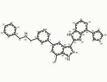 Fc1cc(-c2cncc(CNCc3ccccc3)c2)cc2c(-c3nc4c(-c5ccsc5)nccc4[nH]3)n[nH]c12